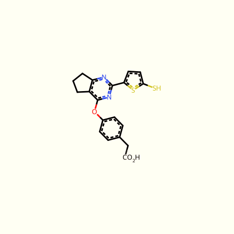 O=C(O)Cc1ccc(Oc2nc(-c3ccc(S)s3)nc3c2CCC3)cc1